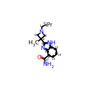 CC(C)CN1CC(C)(c2nc3c(C(N)=O)cccc3[nH]2)C1